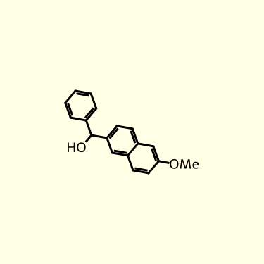 COc1ccc2cc(C(O)c3ccccc3)ccc2c1